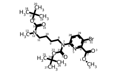 COC(=O)c1nc(N(CCCCN(C)C(=O)OC(C)(C)C)C(=O)OC(C)(C)C)ccc1Br